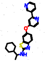 CC(Nc1nc2ccc(Oc3ccnc(-c4cccnc4)c3)cc2s1)C1CCCCC1